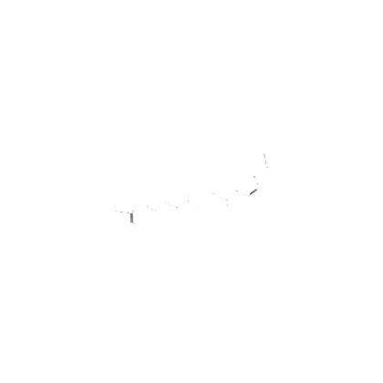 CCC/C=C\CCCCCCCCOC(C)=O